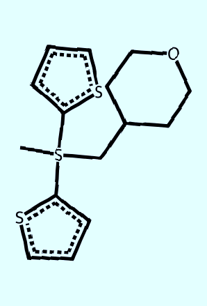 CS(CC1CCOCC1)(c1cccs1)c1cccs1